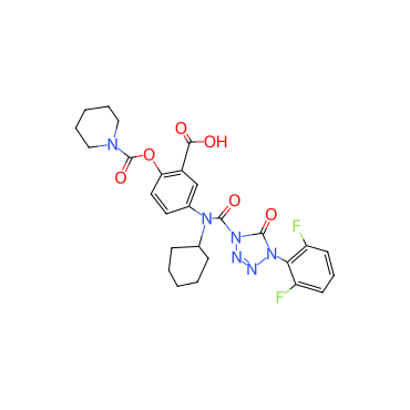 O=C(O)c1cc(N(C(=O)n2nnn(-c3c(F)cccc3F)c2=O)C2CCCCC2)ccc1OC(=O)N1CCCCC1